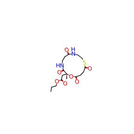 CCCOC(=O)C[C@@]1(C)OC(=O)CCC(=O)SCCNC(=O)CCNC1=O